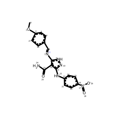 COc1ccc(/C=N/c2[nH]nc(Nc3ccc([N+](=O)[O-])cc3)c2C(N)=O)cc1